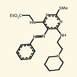 CCOC(=O)CNc1nc(SC)nc(NCCN2CCCCC2)c1/N=N/c1ccccc1